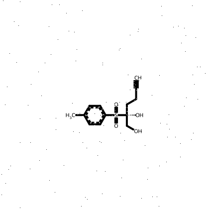 C#CCC[C@@](O)(CO)S(=O)(=O)c1ccc(C)cc1